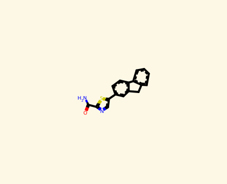 NC(=O)c1ncc(-c2ccc3c(c2)Cc2ccccc2-3)s1